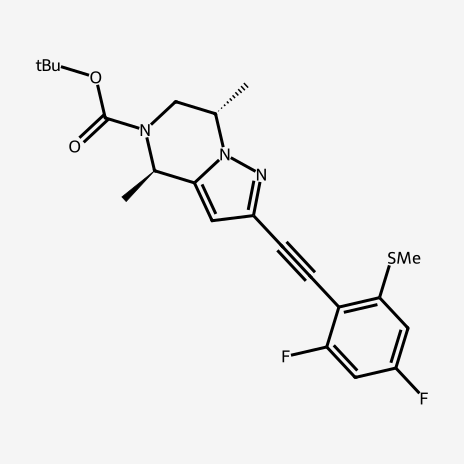 CSc1cc(F)cc(F)c1C#Cc1cc2n(n1)[C@@H](C)CN(C(=O)OC(C)(C)C)[C@@H]2C